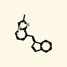 Cc1cn2cccc(C=C3C=Cc4ccccc43)c2n1